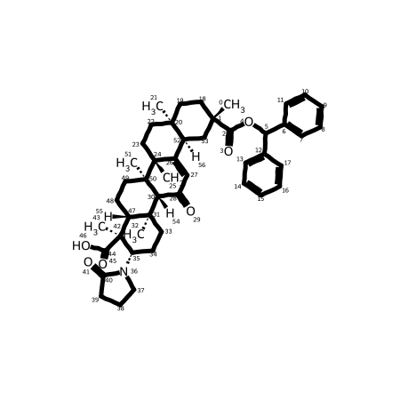 C[C@]1(C(=O)OC(c2ccccc2)c2ccccc2)CC[C@]2(C)CC[C@]3(C)C(=CC(=O)[C@@H]4[C@@]5(C)CC[C@H](N6CCCC6=O)[C@@](C)(C(=O)O)[C@@H]5CC[C@]43C)[C@@H]2C1